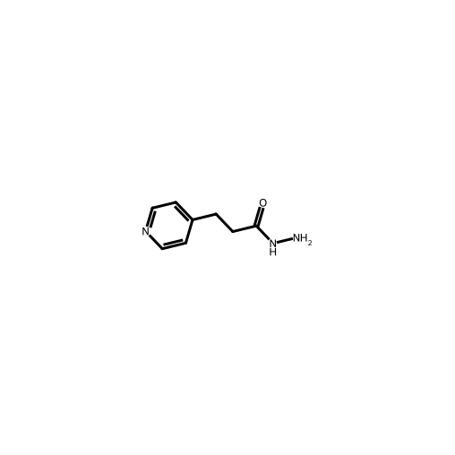 NNC(=O)CCc1ccncc1